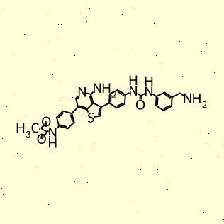 CS(=O)(=O)Nc1ccc(-c2cnc(N)c3c(-c4ccc(NC(=O)Nc5cccc(CN)c5)cc4)csc23)cc1